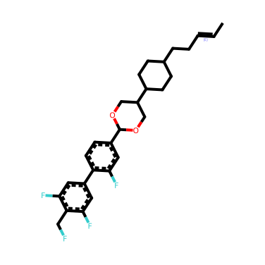 C/C=C/CCC1CCC(C2COC(c3ccc(-c4cc(F)c(CF)c(F)c4)c(F)c3)OC2)CC1